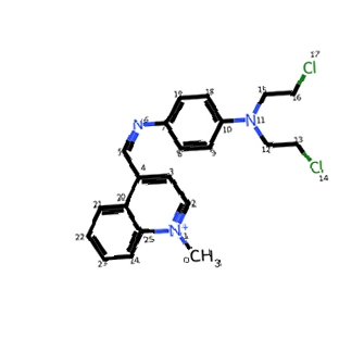 C[n+]1ccc(/C=N\c2ccc(N(CCCl)CCCl)cc2)c2ccccc21